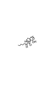 CCCCCN[C@@H]1C(=O)N2C(C(=O)O)=C(C=S)CS[C@@H]12